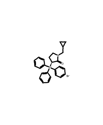 O=C1[C@@H]([P+](c2ccccc2)(c2ccccc2)c2ccccc2)CCN1CC1CC1.[Br-]